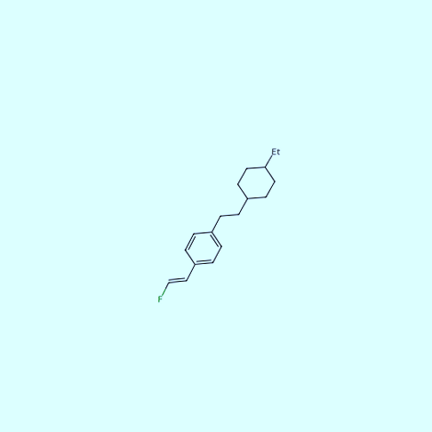 CCC1CCC(CCc2ccc(C=CF)cc2)CC1